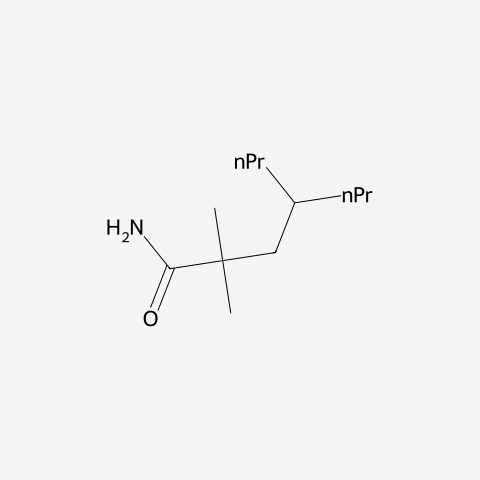 CCCC(CCC)CC(C)(C)C(N)=O